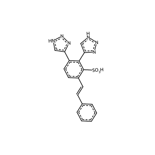 O=S(=O)(O)c1c(C=Cc2ccccc2)ccc(-c2c[nH]nn2)c1-c1c[nH]nn1